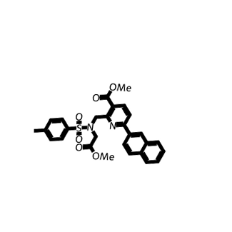 COC(=O)CN(Cc1nc(-c2ccc3ccccc3c2)ccc1C(=O)OC)S(=O)(=O)c1ccc(C)cc1